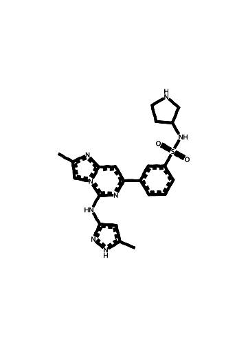 Cc1cn2c(Nc3cc(C)[nH]n3)nc(-c3cccc(S(=O)(=O)NC4CCNC4)c3)cc2n1